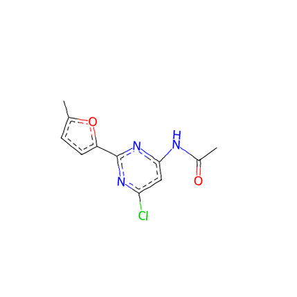 CC(=O)Nc1cc(Cl)nc(-c2ccc(C)o2)n1